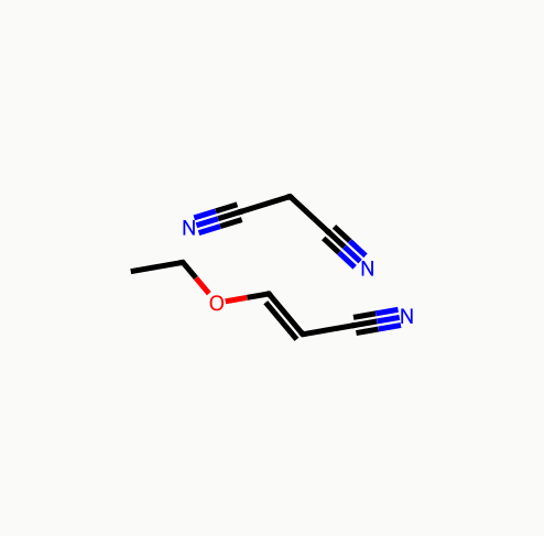 CCOC=CC#N.N#CCC#N